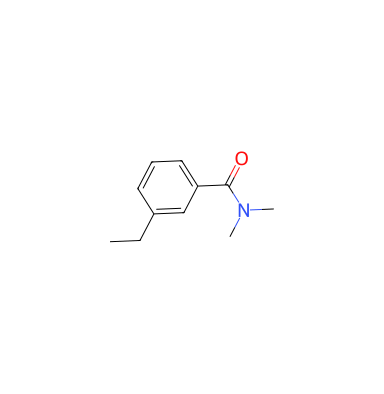 CCc1cccc(C(=O)N(C)C)c1